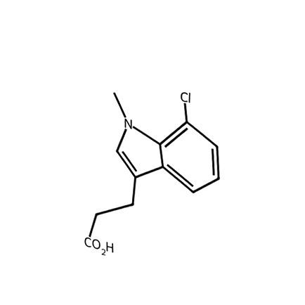 Cn1cc(CCC(=O)O)c2cccc(Cl)c21